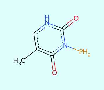 Cc1c[nH]c(=O)n(P)c1=O